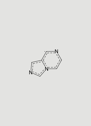 [c]1nccn2cncc12